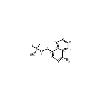 CC(C)(C)[Si](C)(C)OCc1ccc(Br)c2ccccc12